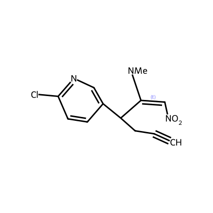 C#CCC(/C(=C\[N+](=O)[O-])NC)c1ccc(Cl)nc1